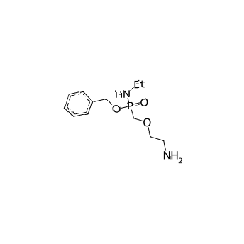 CCNP(=O)(COCCN)OCc1ccccc1